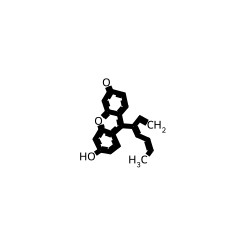 C=C/C(=C\C=C/C)c1c2ccc(=O)cc-2oc2cc(O)ccc12